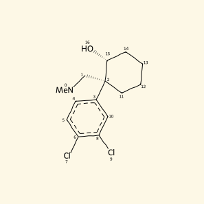 CNC[C@@]1(c2ccc(Cl)c(Cl)c2)CCCC[C@H]1O